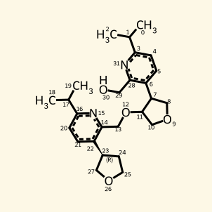 CC(C)c1ccc(C2COCC2OCc2nc(C(C)C)ccc2[C@H]2CCOC2)c(CO)n1